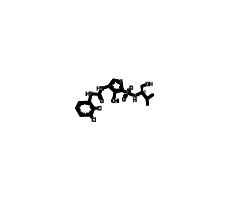 CC(C)[C@H](CO)NS(=O)(=O)c1scc(NC(=O)Nc2cccc(Cl)c2Cl)c1O